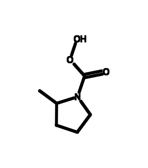 CC1CCCN1C(=O)OO